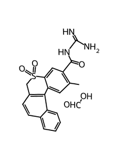 Cc1cc2c(cc1C(=O)NC(=N)N)S(=O)(=O)Cc1ccc3ccccc3c1-2.O=CO